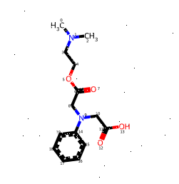 CN(C)CCOC(=O)CN(CC(=O)O)c1ccccc1